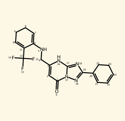 O=c1cc(CNC2=CCCC=C2C(F)(F)F)[nH]c2nc(C3=CC=CCC3)nn12